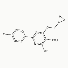 CC(C)c1nc(-c2ccc(Cl)cc2)nc(OCC2CC2)c1C(=O)O